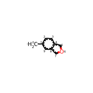 [CH2]c1ccc2cocc2c1